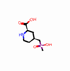 CP(=O)(O)C[C@H]1CCN[C@@H](C(=O)O)C1